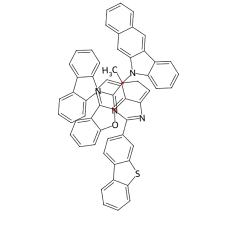 CC1C/C=C(c2c(-n3c4ccccc4c4cc5ccccc5cc43)ccc3c2oc2ccccc23)/N=C(c2ccc3c(c2)sc2ccccc23)\N=C/1n1c2ccccc2c2ccccc21